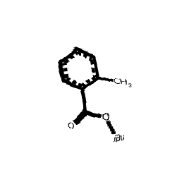 [CH2]CC(C)OC(=O)c1ccccc1C